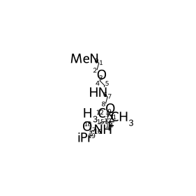 CNCCOCCNCCOC(C)(C)C(F)CNC(=O)C(C)C